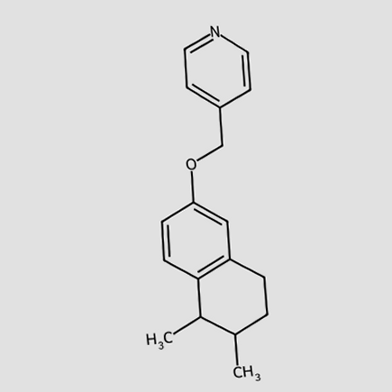 CC1CCc2cc(OCc3ccncc3)ccc2C1C